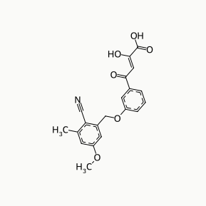 COc1cc(C)c(C#N)c(COc2cccc(C(=O)C=C(O)C(=O)O)c2)c1